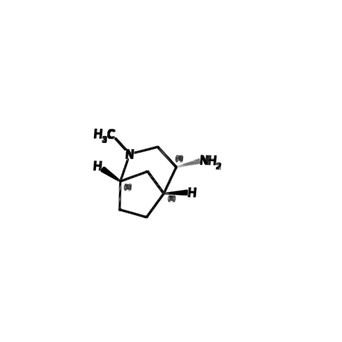 CN1C[C@H](N)[C@@H]2CC[C@H]1C2